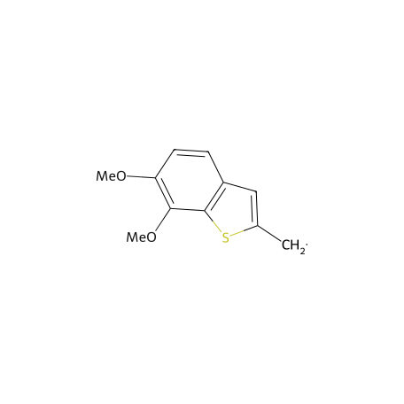 [CH2]c1cc2ccc(OC)c(OC)c2s1